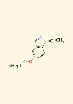 C=C=C1N=Cc2cc(OCCCCCCCC)ccc21